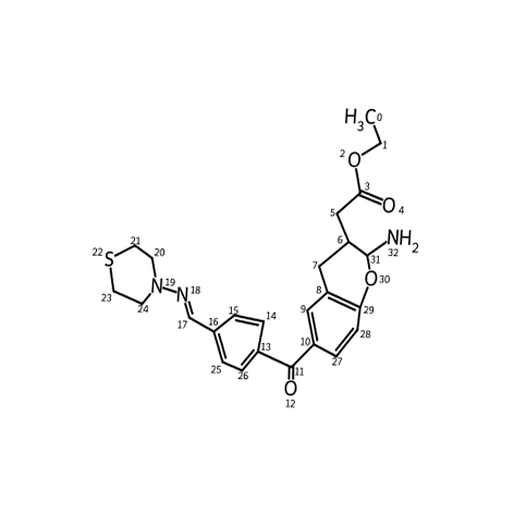 CCOC(=O)CC1Cc2cc(C(=O)c3ccc(C=NN4CCSCC4)cc3)ccc2OC1N